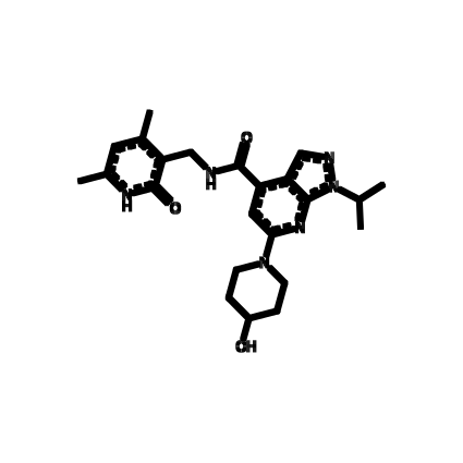 Cc1cc(C)c(CNC(=O)c2cc(N3CCC(O)CC3)nc3c2cnn3C(C)C)c(=O)[nH]1